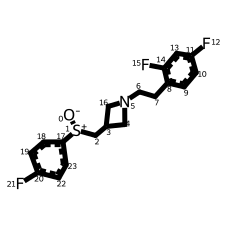 [O-][S+](CC1CN(CCc2ccc(F)cc2F)C1)c1ccc(F)cc1